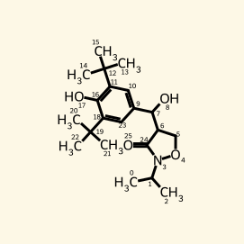 CC(C)N1OCC(C(O)c2cc(C(C)(C)C)c(O)c(C(C)(C)C)c2)C1=O